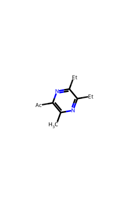 CCc1nc(C)c(C(C)=O)nc1CC